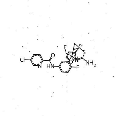 NC1=N[C@](CF)(c2cc(NC(=O)c3ccc(Cl)cn3)ccc2F)C2C[C@]2(c2ccon2)S1